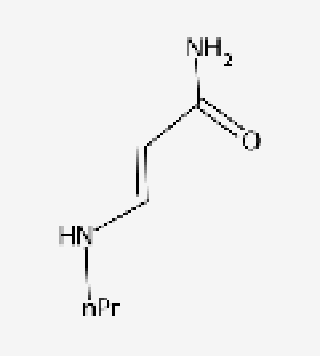 CCCNC=CC(N)=O